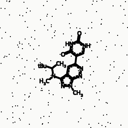 CC(N(C)c1nn(C)c2nnc(-c3c[nH]c(=O)[nH]c3=O)cc12)C(C)(C)C